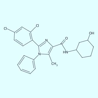 Cc1c(C(=O)NC2CCCC(O)C2)nc(-c2ccc(Cl)cc2Cl)n1-c1ccccc1